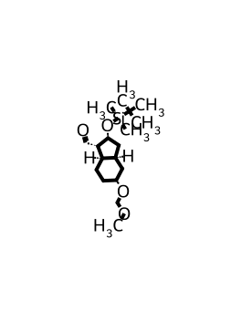 COCO[C@@H]1CC[C@@H]2[C@H](C1)C[C@@H](O[Si](C)(C)C(C)(C)C)[C@H]2C=O